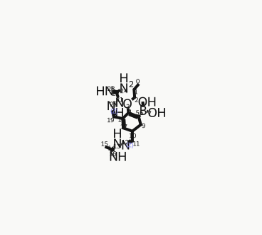 CCCOC1=C(B(O)O)CC(/C=N\NC(C)=N)C=C1/C=N\NC(=N)N